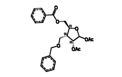 CC(=O)OC1O[C@H](COC(=O)c2ccccc2)[C@@H](COCc2ccccc2)[C@H]1OC(C)=O